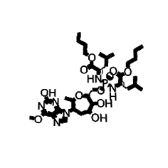 CCCCOC(=O)[C@H](CC(C)C)NP(=O)(N[C@@H](CC(C)C)C(=O)OCCCC)OC[C@H]1OC(C)C(n2cnc3c(OC)nc(O)nc32)CC(O)C1O